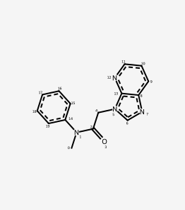 CN(C(=O)Cn1cnc2cccnc21)c1ccccc1